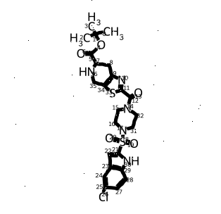 CC(C)(C)OC(=O)C1Cc2nc(C(=O)N3CCN(S(=O)(=O)c4cc5cc(Cl)ccc5[nH]4)CC3)sc2CN1